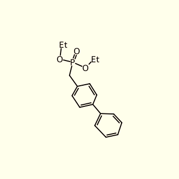 CCOP(=O)(Cc1ccc(-c2ccccc2)cc1)OCC